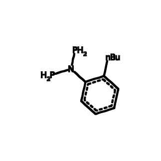 CCCCc1ccccc1N(P)P